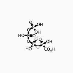 O=C(O)P(=O)(O)OP(=O)(O)OP(=O)(O)OP(=O)(O)O